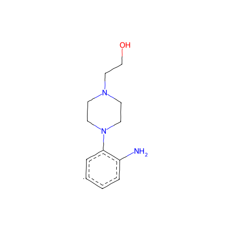 Nc1cc[c]cc1N1CCN(CCO)CC1